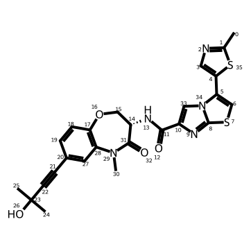 Cc1ncc(-c2csc3nc(C(=O)N[C@H]4COc5ccc(C#CC(C)(C)O)cc5N(C)C4=O)cn23)s1